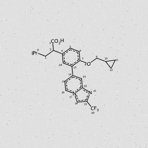 CC(C)CC(C(=O)O)c1ccc(OCC2CC2)c(-c2ccn3cc(C(F)(F)F)nc3c2)c1